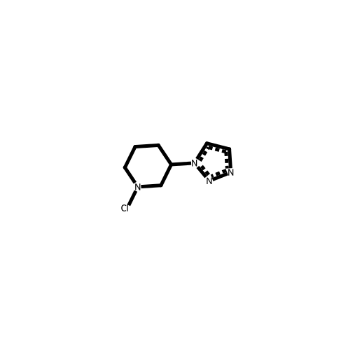 ClN1CCCC(n2ccnn2)C1